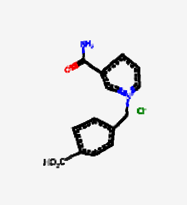 NC(=O)c1ccc[n+](Cc2ccc(C(=O)O)cc2)c1.[Cl-]